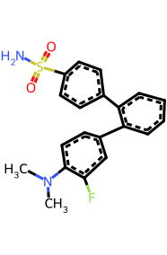 CN(C)c1ccc(-c2ccccc2-c2ccc(S(N)(=O)=O)cc2)cc1F